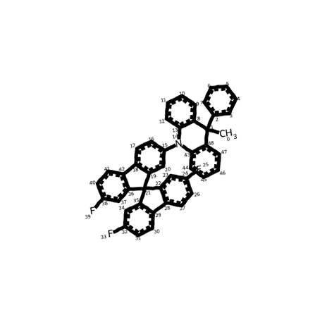 CC1(c2ccccc2)c2ccccc2N(c2ccc3c(c2)C2(c4cc(F)ccc4-c4ccc(F)cc42)c2cc(F)ccc2-3)c2ccccc21